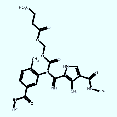 CCCNC(=O)c1ccc(C)c(N(C(=N)c2[nH]cc(C(=O)NCCC)c2C)C(=O)OCOC(=O)CCC(=O)O)c1